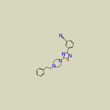 N#Cc1cccc(-c2nsc(N3CCN(CCc4ccccc4)CC3)n2)c1